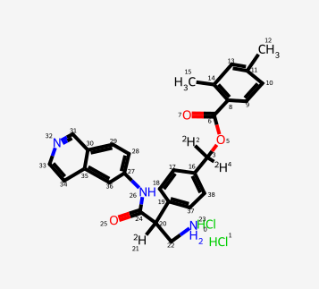 Cl.Cl.[2H]C([2H])(OC(=O)c1ccc(C)cc1C)c1ccc(C([2H])(CN)C(=O)Nc2ccc3cnccc3c2)cc1